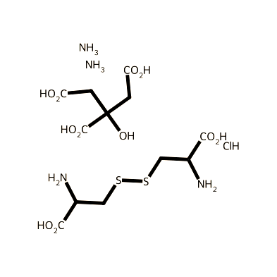 Cl.N.N.NC(CSSCC(N)C(=O)O)C(=O)O.O=C(O)CC(O)(CC(=O)O)C(=O)O